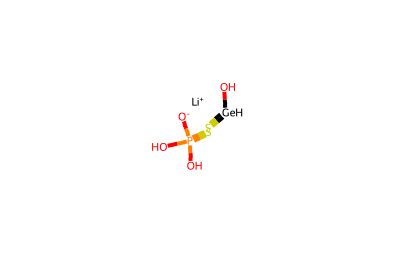 [Li+].[O-]P(O)(O)=S.[OH][GeH]=[S]